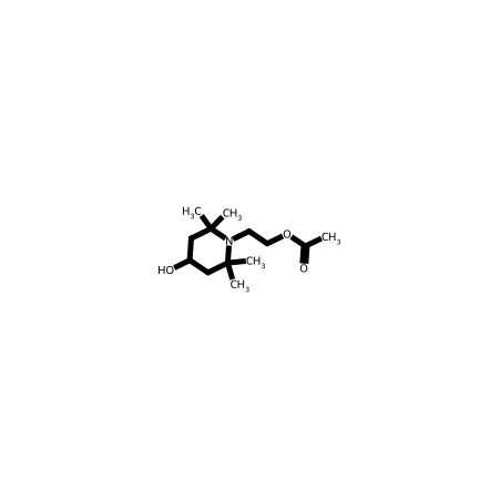 CC(=O)OCCN1C(C)(C)CC(O)CC1(C)C